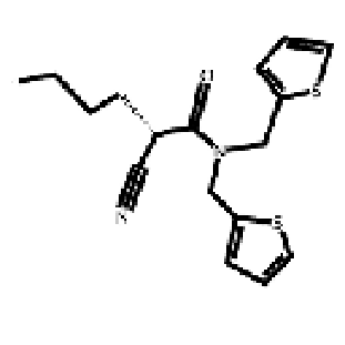 [CH2]CCC[C@@H](C#N)C(=O)N(Cc1cccs1)Cc1cccs1